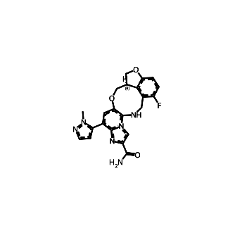 Cn1nccc1-c1cc2c(n3cc(C(N)=O)nc13)NCc1c(F)ccc3c1[C@H](CO3)CO2